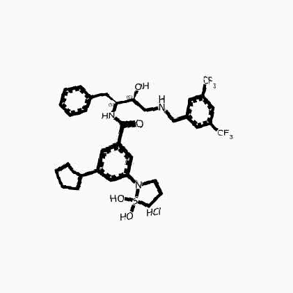 Cl.O=C(N[C@@H](Cc1ccccc1)[C@@H](O)CNCc1cc(C(F)(F)F)cc(C(F)(F)F)c1)c1cc(C2CCCC2)cc(N2CCCS2(O)O)c1